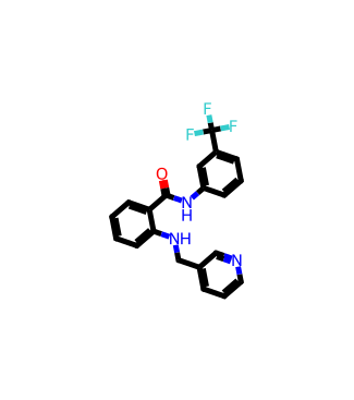 O=C(Nc1cccc(C(F)(F)F)c1)c1ccccc1NCc1cccnc1